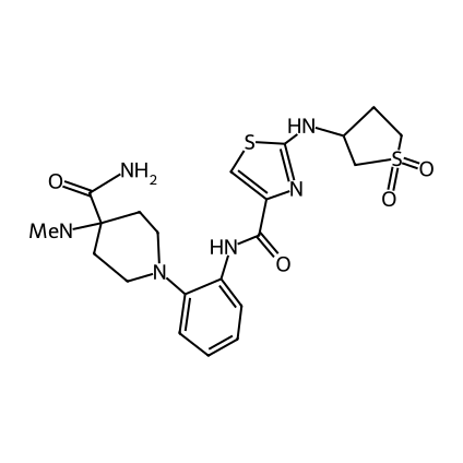 CNC1(C(N)=O)CCN(c2ccccc2NC(=O)c2csc(NC3CCS(=O)(=O)C3)n2)CC1